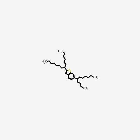 CCCCCCCC(CCCCCC)c1cc2ccc(C(CCCC)CCCCCC)cc2s1